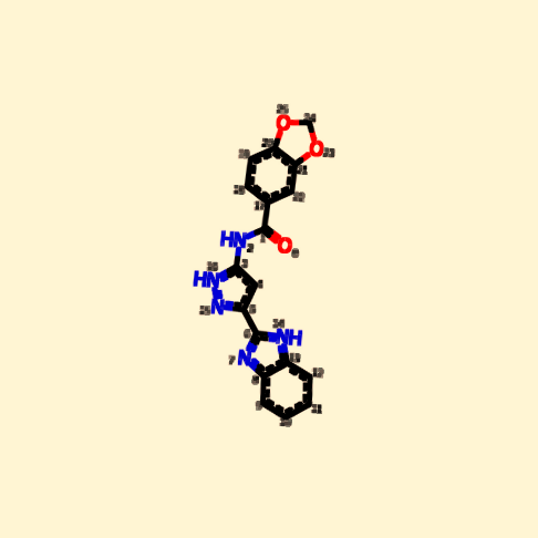 O=C(Nc1cc(-c2nc3ccccc3[nH]2)n[nH]1)c1ccc2c(c1)OCO2